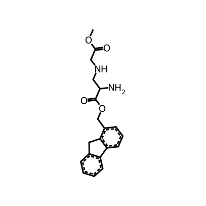 COC(=O)CNCC(N)C(=O)OCc1cccc2c1Cc1ccccc1-2